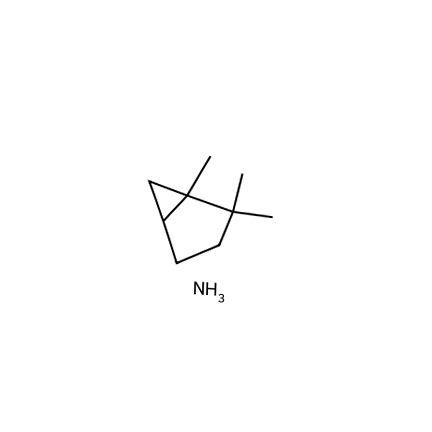 CC1(C)CCC2CC21C.N